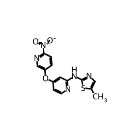 Cc1cnc(Nc2cc(Oc3ccc([N+](=O)[O-])nc3)ccn2)s1